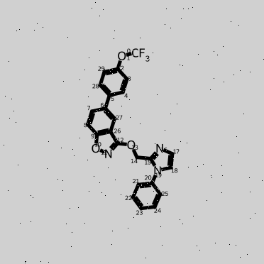 FC(F)(F)Oc1ccc(-c2ccc3onc(OCc4nccn4-c4ccccc4)c3c2)cc1